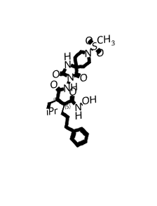 CC(C)C[C@@H](C(=O)NN1C(=O)NC2(CCN(S(C)(=O)=O)CC2)C1=O)[C@H](CCCc1ccccc1)C(=O)NO